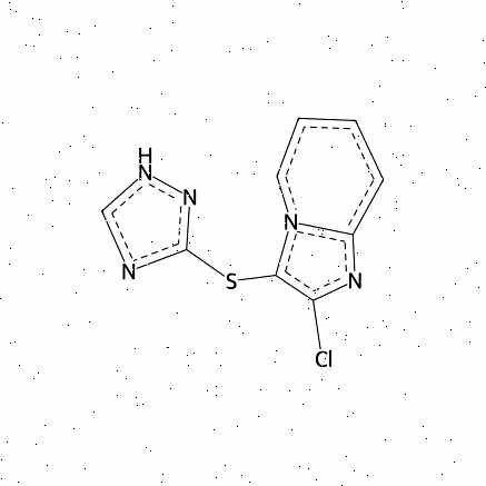 Clc1nc2ccccn2c1Sc1nc[nH]n1